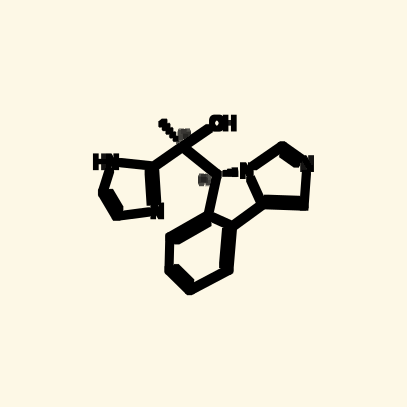 C[C@@](O)(c1ncc[nH]1)[C@H]1c2ccccc2-c2cncn21